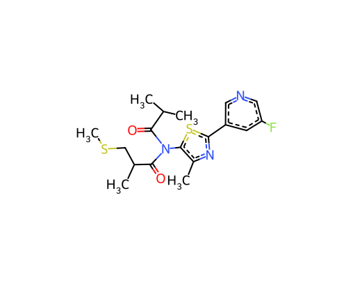 CSCC(C)C(=O)N(C(=O)C(C)C)c1sc(-c2cncc(F)c2)nc1C